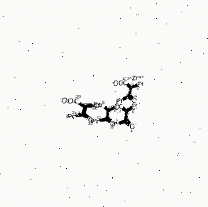 CCC(C(=O)[O-])C(=O)C(C)C.CCC(C(=O)[O-])C(=O)C(C)C.CCC(C(=O)[O-])C(=O)C(C)C.CCC(C(=O)[O-])C(=O)C(C)C.[Zr+4]